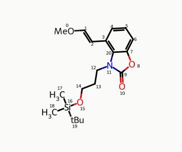 COC=Cc1cccc2oc(=O)n(CCCO[Si](C)(C)C(C)(C)C)c12